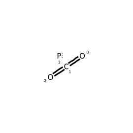 O=C=O.[P]